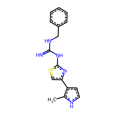 Cc1[nH]ccc1-c1csc(NC(=N)NCc2ccccc2)n1